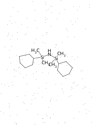 C[Si](C)(N[Si](C)(C)C1CCCCC1)C1CCCCC1